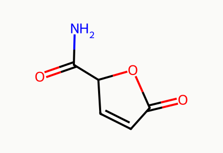 NC(=O)C1C=CC(=O)O1